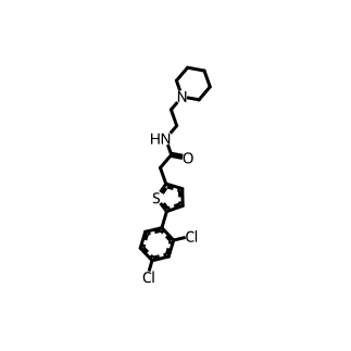 O=C(Cc1ccc(-c2ccc(Cl)cc2Cl)s1)NCCN1CCCCC1